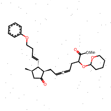 COC(=O)C(CC=C=CC[C@H]1C(=O)C[C@@H](C)[C@@H]1/C=C/CCOc1ccccc1)OC1CCCCO1